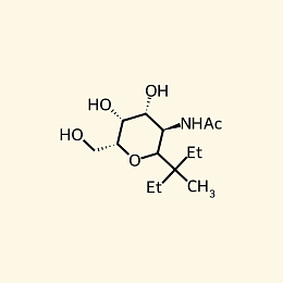 CCC(C)(CC)C1O[C@H](CO)[C@H](O)[C@H](O)[C@H]1NC(C)=O